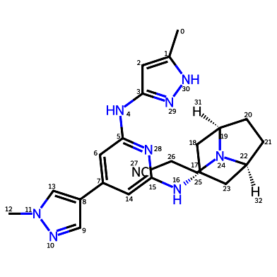 Cc1cc(Nc2cc(-c3cnn(C)c3)cc(N[C@@H]3C[C@H]4CC[C@@H](C3)N4CCC#N)n2)n[nH]1